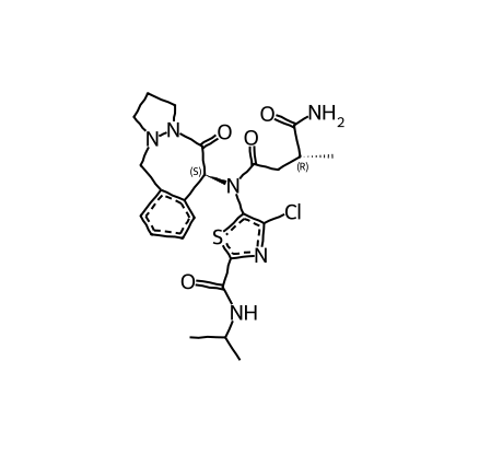 CC(C)NC(=O)c1nc(Cl)c(N(C(=O)C[C@@H](C)C(N)=O)[C@@H]2C(=O)N3CCCN3Cc3ccccc32)s1